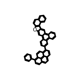 c1ccc(-c2ccc3ccc4ccc(-c5ccc6c(c5)c5ccccc5c5cc7c(cc65)oc5ccc6ccccc6c57)c5ccc2c3c45)cc1